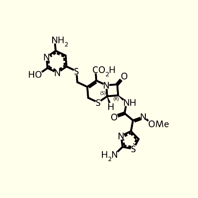 CON=C(C(=O)N[C@@H]1C(=O)N2C(C(=O)O)=C(CSc3cc(N)nc(O)n3)CS[C@@H]12)c1csc(N)n1